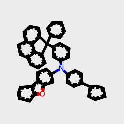 c1ccc(-c2ccc(N(c3cccc(C4(c5ccccc5)c5cccc6ccc7cccc4c7c56)c3)c3ccc4c(c3)oc3ccccc34)cc2)cc1